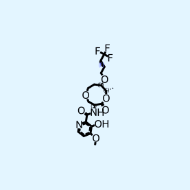 COc1ccnc(C(=O)N[C@H]2COCC[C@@H](OC/C=C/C(F)(F)F)[C@H](C)OC2=O)c1O